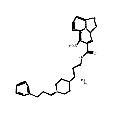 Cl.Cl.O=C(NCCCC1CCN(CCCc2ccccc2)CC1)C1=CC2CNC3=CC=CC(=C1S(=O)(=O)O)N32